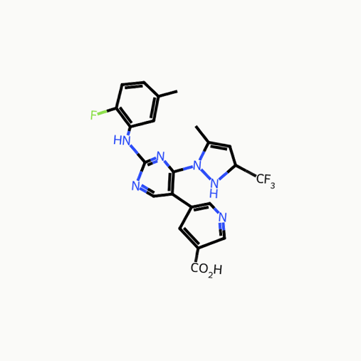 CC1=CC(C(F)(F)F)NN1c1nc(Nc2cc(C)ccc2F)ncc1-c1cncc(C(=O)O)c1